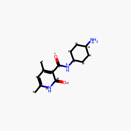 Cc1cc(C)c(C(=O)NC2CCC(N)CC2)c(=O)[nH]1